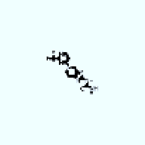 CNC(=O)Nc1nc2c(s1)CN(c1ccnc(C(F)(F)F)n1)CC2